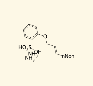 CCCCCCCCCC=CCOc1ccccc1.N.N.O=S(=O)(O)O